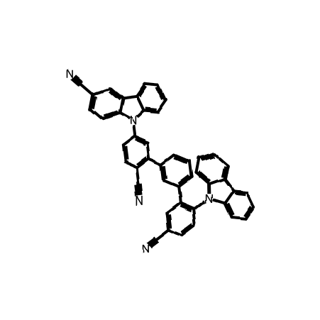 N#Cc1ccc(-n2c3ccccc3c3ccccc32)c(-c2cccc(-c3cc(-n4c5ccccc5c5cc(C#N)ccc54)ccc3C#N)c2)c1